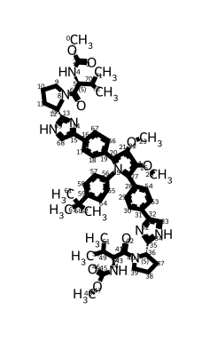 COC(=O)N[C@H](C(=O)N1CCC[C@H]1c1nc(-c2ccc(-c3c(OC)c(OC)c(-c4ccc(-c5c[nH]c([C@@H]6CCCN6C(=O)[C@@H](NC(=O)OC)C(C)C)n5)cc4)n3-c3ccc(C(C)(C)C)cc3)cc2)c[nH]1)C(C)C